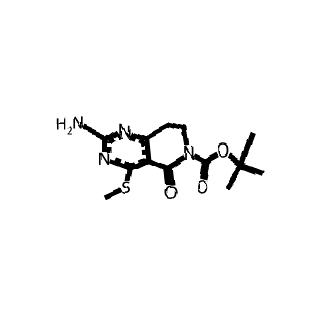 CSc1nc(N)nc2c1C(=O)N(C(=O)OC(C)(C)C)CC2